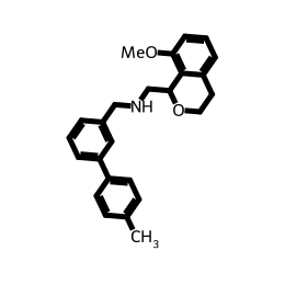 COc1cccc2c1C(CNCc1cccc(-c3ccc(C)cc3)c1)OCC2